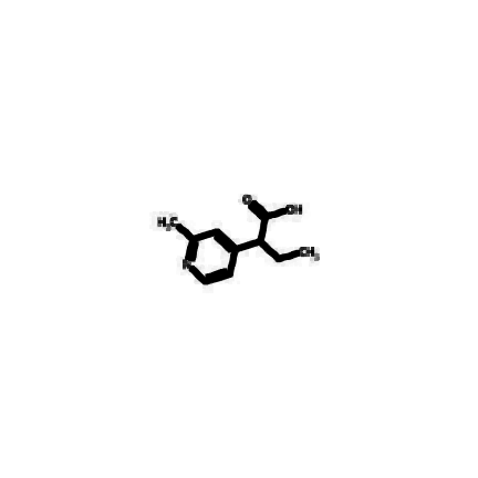 CCC(C(=O)O)c1ccnc(C)c1